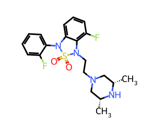 C[C@@H]1CN(CCN2c3c(F)cccc3N(c3ccccc3F)S2(=O)=O)C[C@H](C)N1